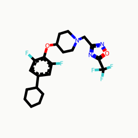 Fc1cc(C2CCCCC2)cc(F)c1OC1CCN(Cc2noc(C(F)(F)F)n2)CC1